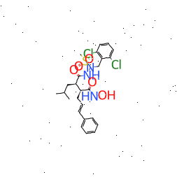 CC(C)C[C@@H](C(=O)NN(Cc1c(Cl)cccc1Cl)S(C)(=O)=O)[C@H](CC=Cc1ccccc1)C(=O)NO